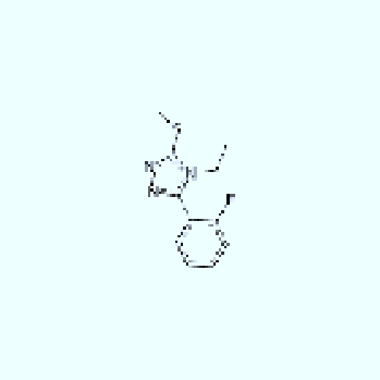 CCn1c(SC)nnc1-c1ccccc1F